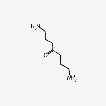 NCCCC(=O)CCCN